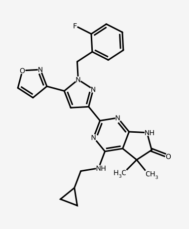 CC1(C)C(=O)Nc2nc(-c3cc(-c4ccon4)n(Cc4ccccc4F)n3)nc(NCC3CC3)c21